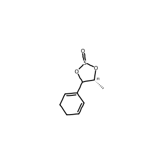 C[C@H]1OS(=O)OC1C1=CCCC=C1